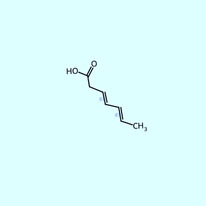 C/C=C/C=C/CC(=O)O